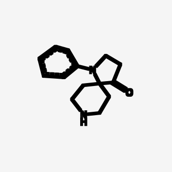 O=C1CCN(c2ccccc2)C12CCNCC2